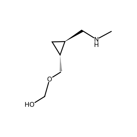 CNC[C@@H]1C[C@H]1COCO